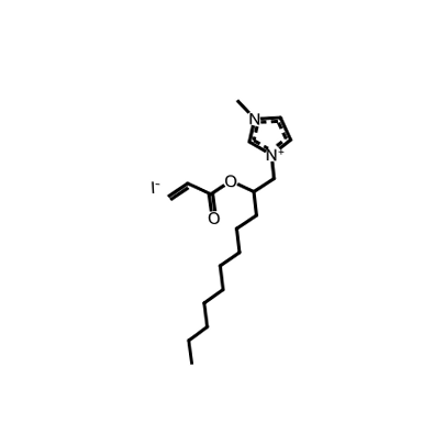 C=CC(=O)OC(CCCCCCCCC)C[n+]1ccn(C)c1.[I-]